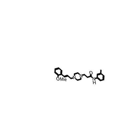 COc1ccccc1/C=C/CN1CCN(CCC(=O)Nc2cccc(C)c2)CC1